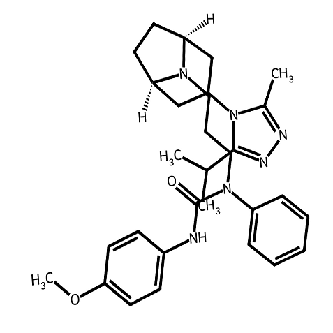 COc1ccc(NC(=O)N(CCCN2[C@@H]3CC[C@H]2CC(n2c(C)nnc2C(C)C)C3)c2ccccc2)cc1